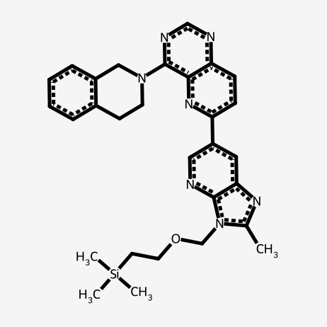 Cc1nc2cc(-c3ccc4ncnc(N5CCc6ccccc6C5)c4n3)cnc2n1COCC[Si](C)(C)C